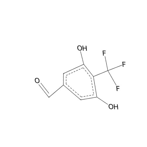 O=Cc1cc(O)c(C(F)(F)F)c(O)c1